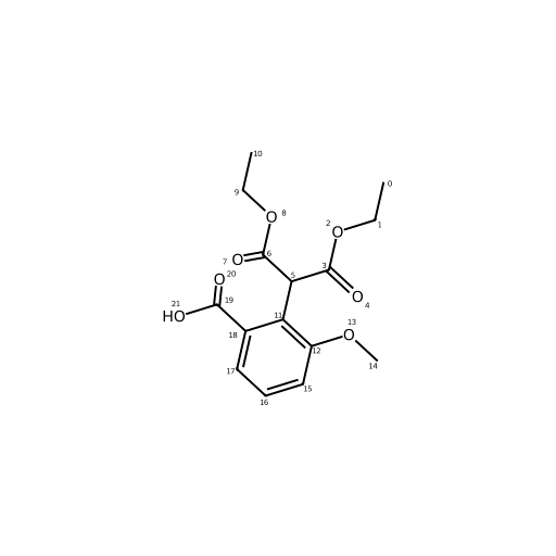 CCOC(=O)C(C(=O)OCC)c1c(OC)cccc1C(=O)O